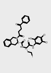 O=C(CCC(=O)N1Cc2ccccc2C[C@H]1C(=O)N[C@@H](CCI)C(=O)Nc1cc(Cl)c(Cl)cc1O)c1ccccc1